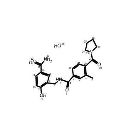 Cc1cc(C(=O)NCc2cc(C(=N)N)ccc2O)ccc1C(=O)N1CCCC1.Cl